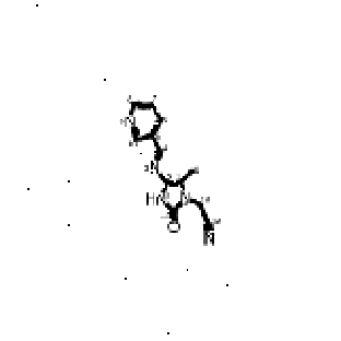 Cc1c(N=Cc2cccnc2)[nH]c(=O)n1CC#N